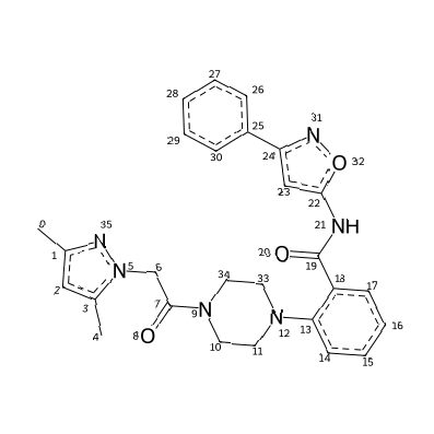 Cc1cc(C)n(CC(=O)N2CCN(c3ccccc3C(=O)Nc3cc(-c4ccccc4)no3)CC2)n1